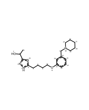 CC(O)c1n[nH]c(CCCCOc2cccc(CN3CCCCC3)c2)n1